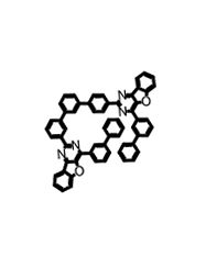 c1ccc(-c2cccc(-c3nc(-c4ccc(-c5cccc(-c6cccc(-c7nc(-c8cccc(-c9ccccc9)c8)c8oc9ccccc9c8n7)c6)c5)cc4)nc4c3oc3ccccc34)c2)cc1